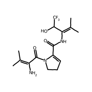 CC(C)=C(N)C(=O)N1CCC=C1C(=O)NC(=C(C)C)C(O)C(F)(F)F